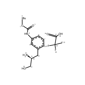 CC(C)(C)OC(=O)Nc1cccc(C[C@H](N)CO)c1.O=C(O)C(F)(F)F